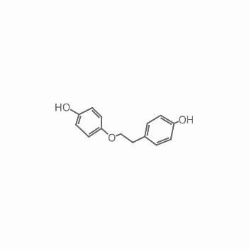 Oc1ccc(CCOc2ccc(O)cc2)cc1